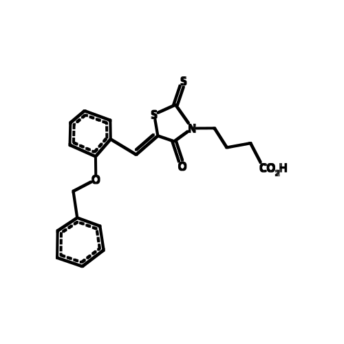 O=C(O)CCCN1C(=O)/C(=C/c2ccccc2OCc2ccccc2)SC1=S